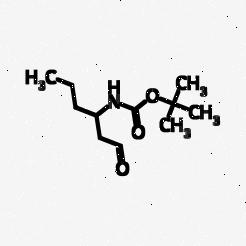 CCCC(CC=O)NC(=O)OC(C)(C)C